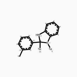 [2H]N1c2ccccc2NC1([2H])c1cccc(C)c1